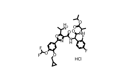 CC(C)OC(=O)C(C)NC(=O)C(NC(=O)c1nc(-c2ccc(OC(F)F)c(OCC3CC3)c2)oc1C(C)N)c1ccc(F)cc1F.Cl